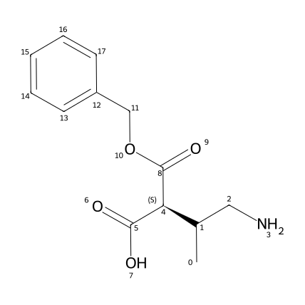 CC(CN)[C@@H](C(=O)O)C(=O)OCc1ccccc1